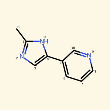 Cc1n[c]c(-c2cccnc2)[nH]1